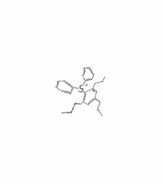 CCCc1cc(CCC)c([S+](c2ccccc2)c2ccccc2)c(CCC)c1